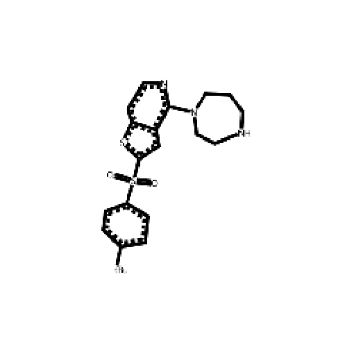 CC(C)(C)c1ccc(S(=O)(=O)c2cc3c(N4CCCNCC4)nccc3s2)cc1